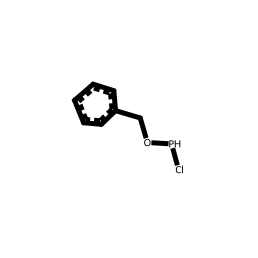 ClPOCc1ccccc1